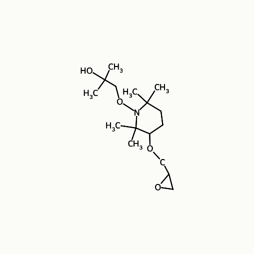 CC(C)(O)CON1C(C)(C)CCC(OCC2CO2)C1(C)C